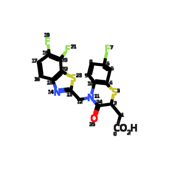 O=C(O)CC1Sc2cc(F)ccc2N(Cc2nc3ccc(F)c(F)c3s2)C1=O